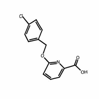 O=C(O)c1cccc(OCc2ccc(Cl)cc2)n1